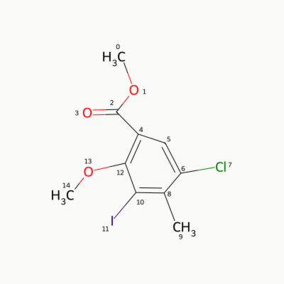 COC(=O)c1cc(Cl)c(C)c(I)c1OC